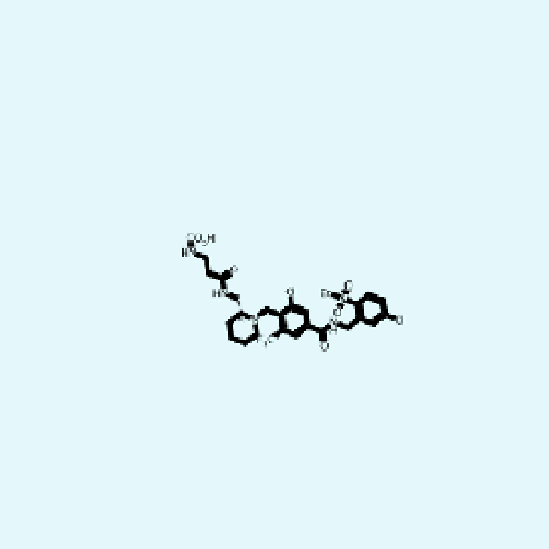 CCS(=O)(=O)c1ccc(Cl)cc1CNC(=O)c1cc(Cl)c(CN2CCCC[C@@H]2CNC(=O)CCNC(=O)O)c(C(F)(F)F)c1